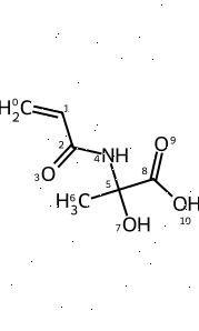 C=CC(=O)NC(C)(O)C(=O)O